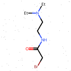 CCN(CC)CCNC(=O)CBr